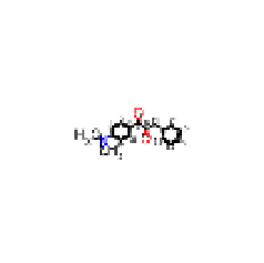 CN(C)c1ccc(C(=O)C(=O)Cc2ccccc2)cc1